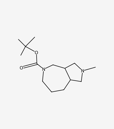 CN1CC2CCCN(C(=O)OC(C)(C)C)CC2C1